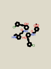 O=C(CCc1cccc2[nH]ccc12)N[C@H]1CCC[C@@](O)(C#Cc2cccc(Cl)c2)C1.O=C(Cc1ccc2c(c1)OCO2)N[C@H]1CCC[C@@](O)(C#Cc2cccc(Cl)c2)C1